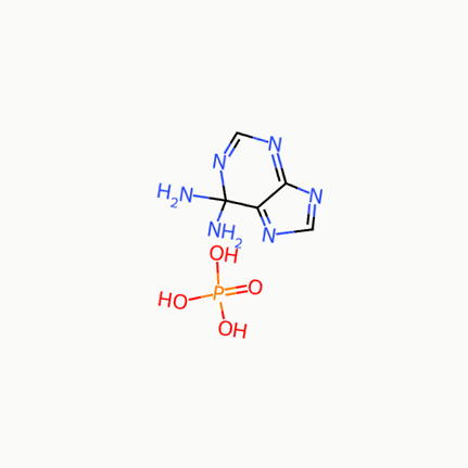 NC1(N)N=CN=C2N=CN=C21.O=P(O)(O)O